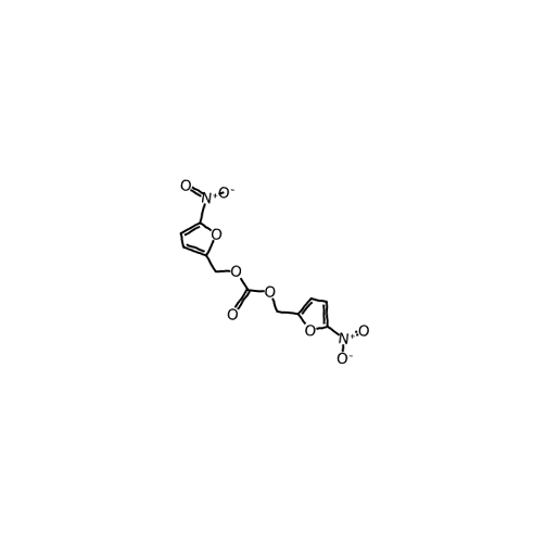 O=C(OCc1ccc([N+](=O)[O-])o1)OCc1ccc([N+](=O)[O-])o1